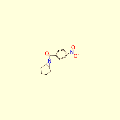 O=C(c1ccc([N+](=O)[O-])cc1)N1C2CCCCC21